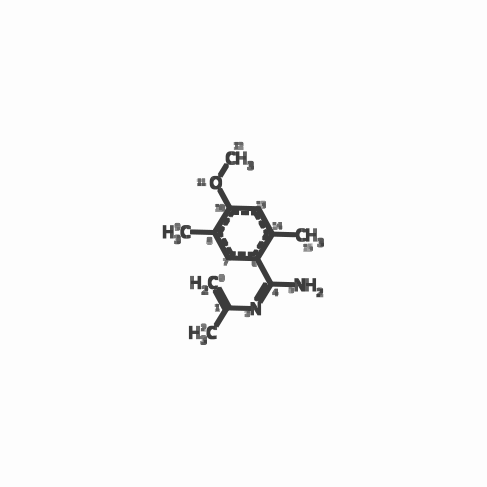 C=C(C)/N=C(/N)c1cc(C)c(OC)cc1C